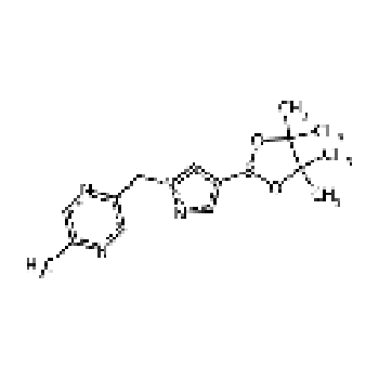 Cc1cnc(Cn2cc(B3OC(C)(C)C(C)(C)O3)cn2)cn1